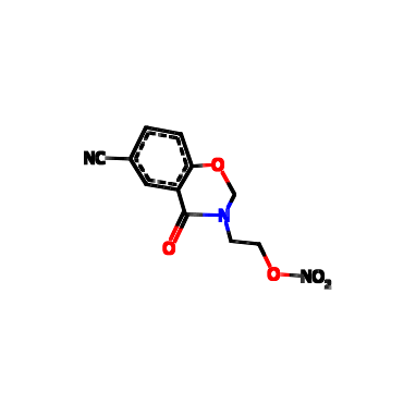 N#Cc1ccc2c(c1)C(=O)N(CCO[N+](=O)[O-])CO2